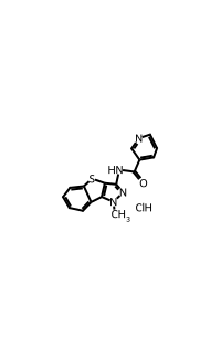 Cl.Cn1nc(NC(=O)c2cccnc2)c2sc3ccccc3c21